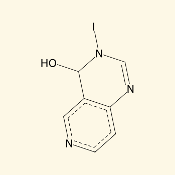 OC1c2cnccc2N=CN1I